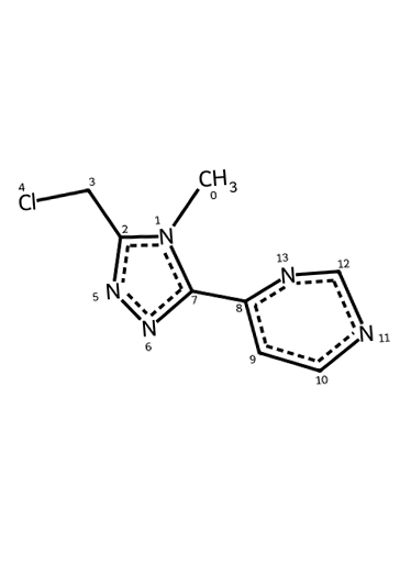 Cn1c(CCl)nnc1-c1ccncn1